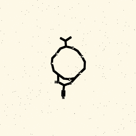 CC(C)C1CCCCCCC2CCC(CCCCC1)NC(C#N)S2